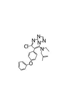 C=C(C)CN(CC)c1c(-c2ccc(Oc3ccccc3)cc2)c(Cl)nc2ncnn12